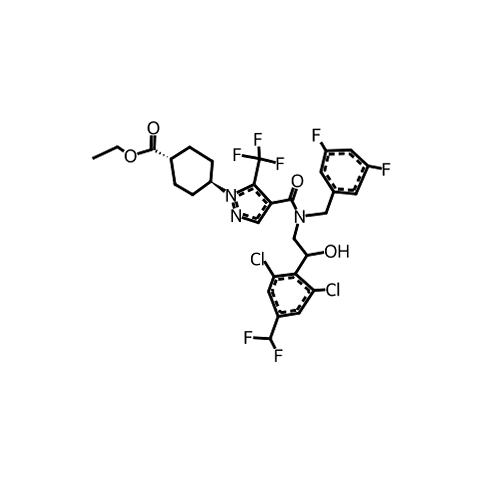 CCOC(=O)[C@H]1CC[C@H](n2ncc(C(=O)N(Cc3cc(F)cc(F)c3)CC(O)c3c(Cl)cc(C(F)F)cc3Cl)c2C(F)(F)F)CC1